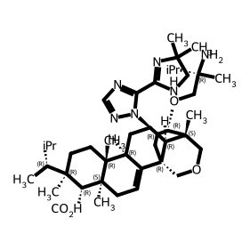 CC(C)[C@@H](C)[C@@]1(C)CC[C@]2(C)[C@H]3CC[C@@H]4[C@@]5(COC[C@@]4(C)[C@@H](OC[C@](C)(N)C(C)C)[C@H](n4ncnc4C4=NC(C)(C)CN4)C5)C3=CC[C@@]2(C)[C@@H]1C(=O)O